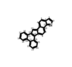 C1=Cc2ccc3c4c(ccc3c2=N1)-c1c(c2ccccc2c2ccccc12)C=4